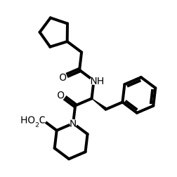 O=C(CC1CCCC1)N[C@@H](Cc1ccccc1)C(=O)N1CCCCC1C(=O)O